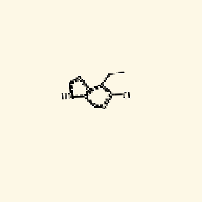 CCc1c(Cl)ccc2[nH]ccc12